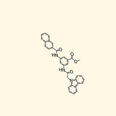 COC(=O)c1cc(NC(=O)Cn2c3ccccc3c3ccccc32)cc(NC(=O)c2ccc3ccccc3c2)c1